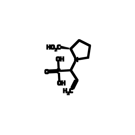 C=CC(N1CCC[C@H]1C(=O)O)P(=O)(O)O